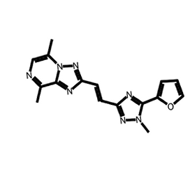 Cc1ncc(C)n2nc(C=Cc3nc(-c4ccco4)n(C)n3)nc12